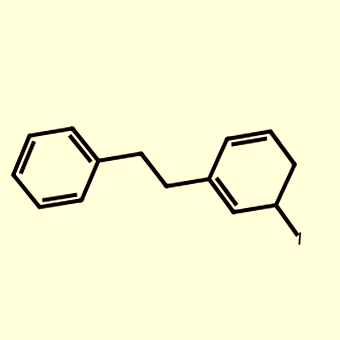 IC1C=C(CCc2ccccc2)C=CC1